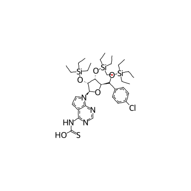 CC[Si](CC)(CC)OC(c1ccc(Cl)cc1)[C@H]1O[C@@H](n2ccc3c(NC(O)=S)ncnc32)[C@H](O[Si](CC)(CC)CC)[C@@H]1O[Si](CC)(CC)CC